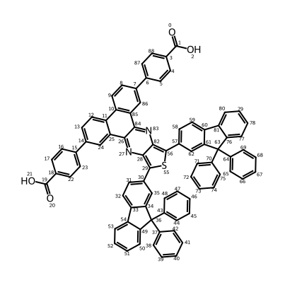 O=C(O)c1ccc(-c2ccc3c4ccc(-c5ccc(C(=O)O)cc5)cc4c4nc5c(-c6ccc7c(c6)C(c6ccccc6)(c6ccccc6)c6ccccc6-7)sc(-c6ccc7c(c6)C(c6ccccc6)(c6ccccc6)c6ccccc6-7)c5nc4c3c2)cc1